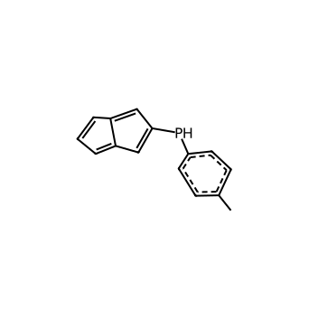 Cc1ccc(PC2=CC3=CC=CC3=C2)cc1